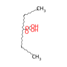 CCCCCCCC/C=C\CCCCCCCCC(CCCCCC/C=C\CCCCCCCC)C(=O)OC(CO)CO